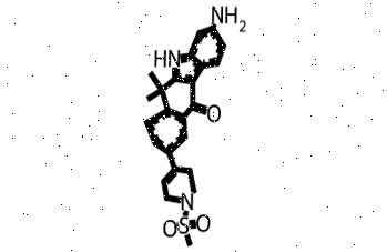 CC1(C)c2ccc(C3=CCN(S(C)(=O)=O)CC3)cc2C(=O)c2c1[nH]c1cc(N)ccc21